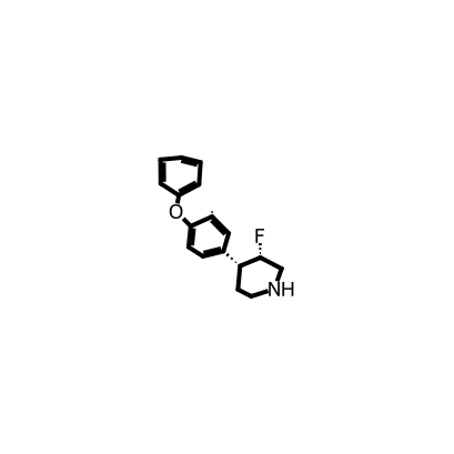 F[C@@H]1CNCC[C@@H]1c1c[c]c(Oc2ccccc2)cc1